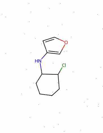 ClC1CCCCC1Nc1ccoc1